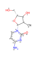 N#CC1C(O)[C@@H](CO)O[C@H]1n1ccc(N)nc1=O